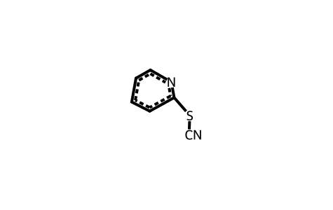 N#CSc1ccccn1